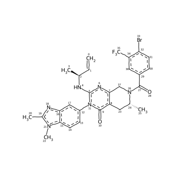 C=C[C@H](C)Nc1nc2c(c(=O)n1-c1ccc3c(c1)nc(C)n3C)C[C@@H](C)N(C(=O)c1ccc(Br)c(C(F)(F)F)c1)C2